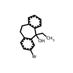 CCC1(O)c2ccccc2CCc2ccc(Br)cc21